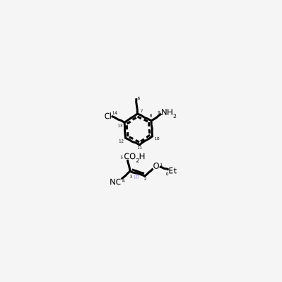 CCO/C=C(/C#N)C(=O)O.Cc1c(N)cccc1Cl